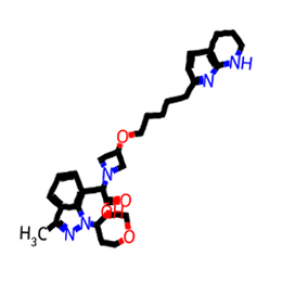 Cc1nn(C2CCOCC2)c2c(C(C(=O)O)N3CC(OCCCCCc4ccc5c(n4)NCCC5)C3)cccc12